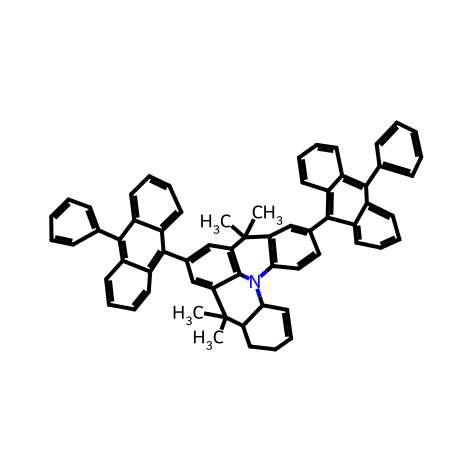 CC1(C)c2cc(-c3c4ccccc4c(-c4ccccc4)c4ccccc34)ccc2N2c3c1cc(-c1c4ccccc4c(-c4ccccc4)c4ccccc14)cc3C(C)(C)C1CCC=CC12